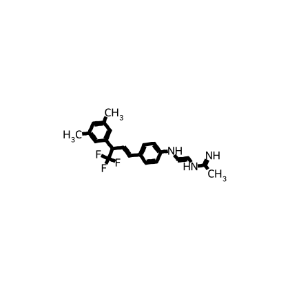 CC(=N)N/C=C/Nc1ccc(/C=C/C(c2cc(C)cc(C)c2)C(F)(F)F)cc1